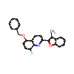 Cc1c(-c2ccc3c(OCc4ccccc4)ccc(F)c3n2)oc2ccccc12